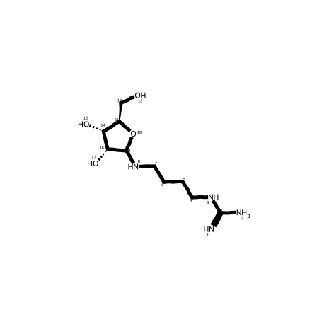 N=C(N)NCCCCNC1O[C@H](CO)[C@@H](O)[C@H]1O